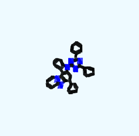 c1ccc(-c2nc(-c3ccccc3)nc(-n3c4ccccc4c4c3cc(-c3ccccc3)c3nc5ccccn5c34)n2)cc1